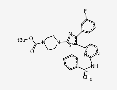 C[C@H](Nc1nccc(-c2sc(N3CCN(C(=O)OC(C)(C)C)CC3)nc2-c2cccc(F)c2)n1)c1ccccc1